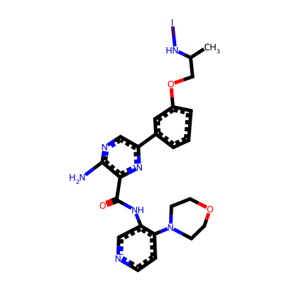 CC(COc1cccc(-c2cnc(N)c(C(=O)Nc3cnccc3N3CCOCC3)n2)c1)NI